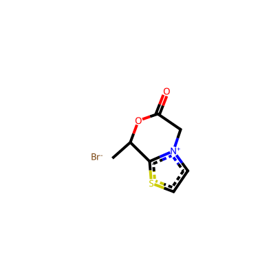 CC1OC(=O)C[n+]2ccsc21.[Br-]